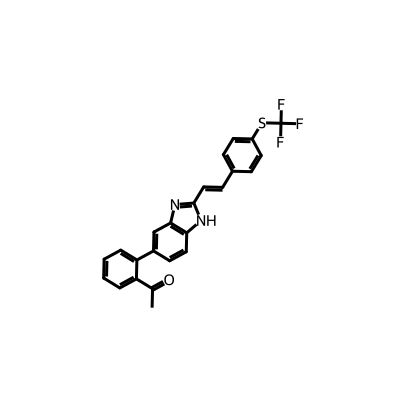 CC(=O)c1ccccc1-c1ccc2[nH]c(C=Cc3ccc(SC(F)(F)F)cc3)nc2c1